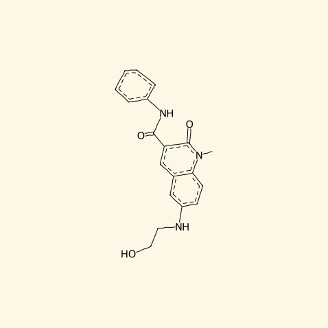 Cn1c(=O)c(C(=O)Nc2ccccc2)cc2cc(NCCO)ccc21